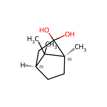 CC1(C)[C@H]2CC[C@]1(C)C(O)(O)C2